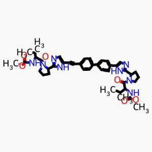 COC(=O)NC(C(=O)N1CCCC1c1ncc(C#Cc2ccc(-c3ccc(-c4cnc(C5CCCN5C(=O)C(NC(=O)OC)C(C)C)[nH]4)cc3)cc2)[nH]1)C(C)C